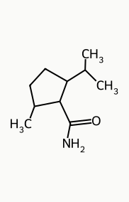 CC(C)C1CCC(C)C1C(N)=O